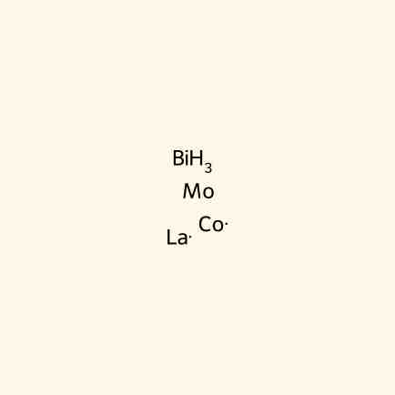 [BiH3].[Co].[La].[Mo]